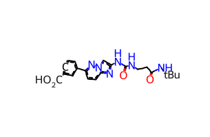 CC(C)(C)NC(=O)CCNC(=O)Nc1cn2nc(-c3cccc(C(=O)O)c3)ccc2n1